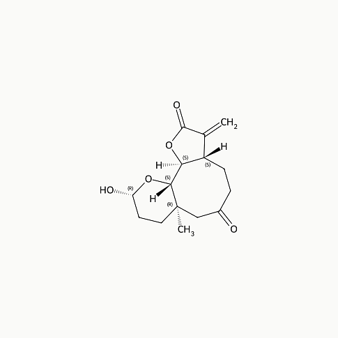 C=C1C(=O)O[C@@H]2[C@H]3O[C@@H](O)CC[C@]3(C)CC(=O)CC[C@@H]12